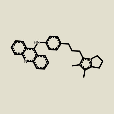 Cc1c(C)c2n(c1CCCc1ccc(Nc3c4ccccc4nc4ccccc34)cc1)CCC2